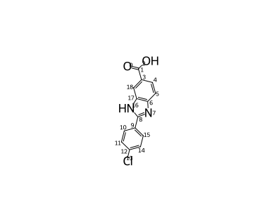 O=C(O)c1ccc2nc(-c3ccc(Cl)cc3)[nH]c2c1